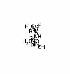 C#CCNC(=O)C(C#N)=c1sc(=CNc2cccc(NC(=O)CN(C)c3ccc(F)cc3)c2)c(=O)n1CC